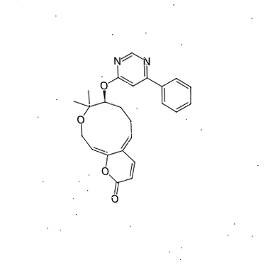 CC1(C)OC/C=c2/oc(=O)cc/c2=C/CC[C@@H]1Oc1cc(-c2ccccc2)ncn1